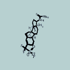 CC(C)(C)C(=O)NC1CC[C@H]2[C@@H]3CC=C4C=C(C(F)(F)S(=O)(=O)OF)CC[C@]4(C)[C@@H]3CC[C@]12C